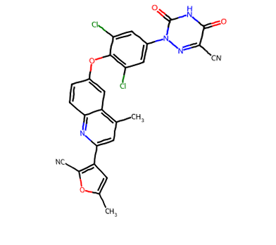 Cc1cc(-c2cc(C)c3cc(Oc4c(Cl)cc(-n5nc(C#N)c(=O)[nH]c5=O)cc4Cl)ccc3n2)c(C#N)o1